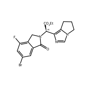 CCOC(=O)[C@@H](c1ncn2c1CCC2)N1Cc2c(F)cc(Br)cc2C1=O